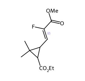 CCOC(=O)C1C(/C=C(\F)C(=O)OC)C1(C)C